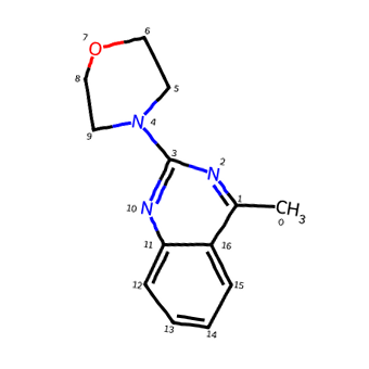 Cc1nc(N2CCOCC2)nc2ccccc12